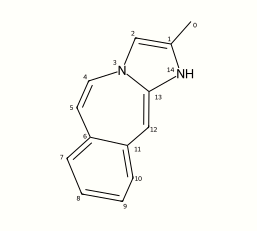 CC1=CN2C=Cc3ccccc3C=C2N1